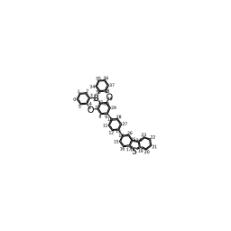 c1ccc2c(c1)Oc1cc(-c3ccc(-c4ccc5sc6ccccc6c5c4)cc3)cc3c1B2c1ccccc1O3